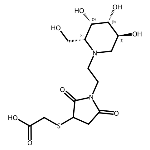 O=C(O)CSC1CC(=O)N(CCN2C[C@H](O)[C@@H](O)[C@@H](O)[C@H]2CO)C1=O